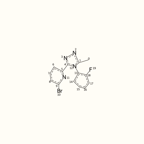 Cc1nnc(-c2cccc(Br)n2)n1-c1ccccc1F